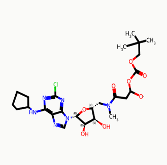 CN(C[C@H]1O[C@@H](n2cnc3c(NC4CCCC4)nc(Cl)nc32)[C@H](O)[C@@H]1O)C(=O)CC([O])OC(=O)OCC(C)(C)C